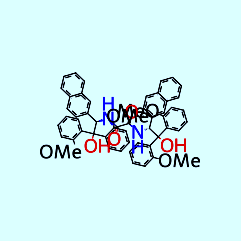 COc1ccccc1C(O)(c1ccccc1OC)[C@H](NC(=O)C(=O)N[C@H](c1ccc2ccccc2c1)C(O)(c1ccccc1OC)c1ccccc1OC)c1ccc2ccccc2c1